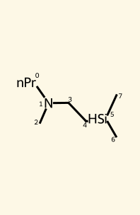 CCCN(C)CC[SiH](C)C